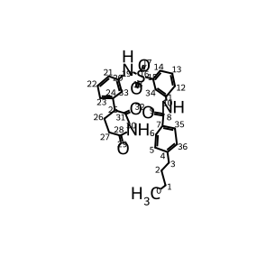 CCCCc1ccc(C(=O)Nc2cccc(S(=O)(=O)Nc3cccc(C4CCC(=O)NC4=O)c3)c2)cc1